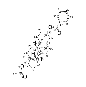 CC(=O)O[C@H]1CC[C@H]2[C@@H]3CC=C4C[C@@H](OC(=O)c5ccccc5)CC[C@]4(C)[C@H]3CC[C@]12C